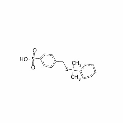 CC(C)(SCc1ccc(S(=O)(=O)O)cc1)c1ccccc1